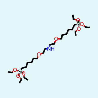 CCO[Si](CCCCCCOCCNCCOCCCCCC[Si](OCC)(OCC)OCC)(OCC)OCC